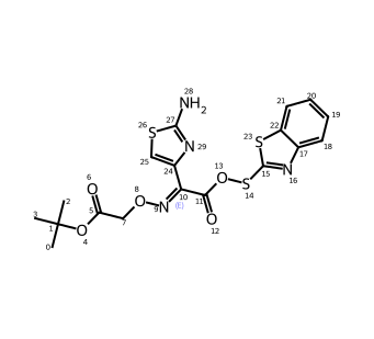 CC(C)(C)OC(=O)CO/N=C(/C(=O)OSc1nc2ccccc2s1)c1csc(N)n1